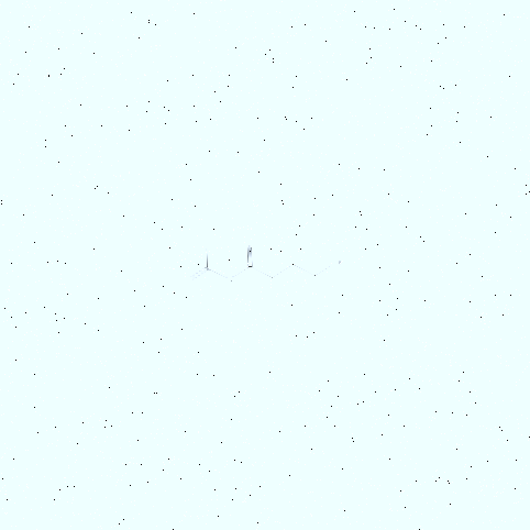 O=C(I)NC(=O)CCCO